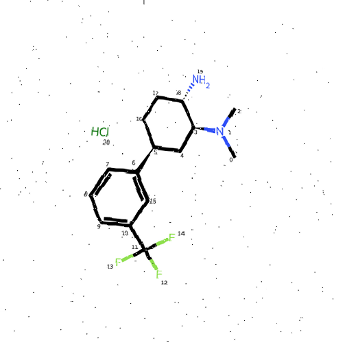 CN(C)[C@H]1C[C@@H](c2cccc(C(F)(F)F)c2)CC[C@@H]1N.Cl